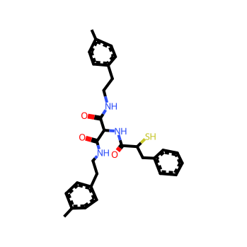 Cc1ccc(CCNC(=O)C(NC(=O)C(S)Cc2ccccc2)C(=O)NCCc2ccc(C)cc2)cc1